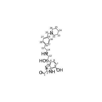 O=CC1Nc2c(O)ccc([C@@H](O)CNCCc3ccc(CN4CCCCC4)cc3)c2S1